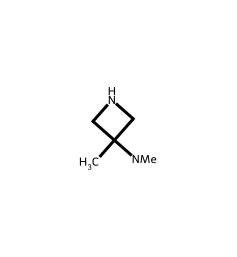 CNC1(C)CNC1